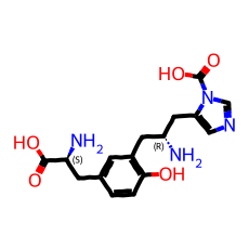 N[C@H](Cc1cc(C[C@H](N)C(=O)O)ccc1O)Cc1cncn1C(=O)O